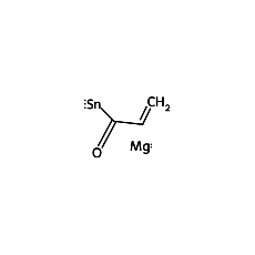 C=C[C](=O)[Sn].[Mg]